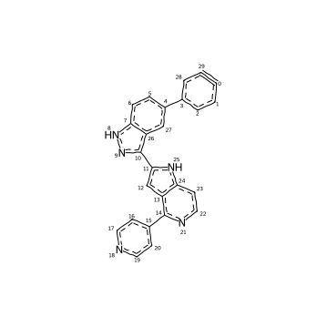 c1ccc(-c2ccc3[nH]nc(-c4cc5c(-c6ccncc6)nccc5[nH]4)c3c2)cc#1